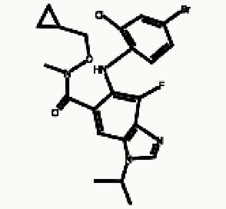 CC(C)n1cnc2c(F)c(Nc3ccc(Br)cc3Cl)c(C(=O)N(C)OCC3CC3)cc21